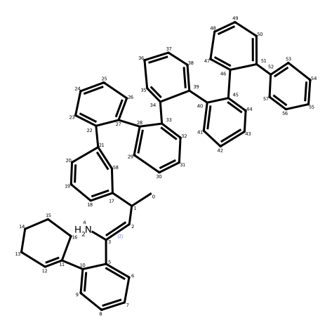 CC(/C=C(\N)c1ccccc1C1=CCCCC1)c1cccc(-c2ccccc2-c2ccccc2-c2ccccc2-c2ccccc2-c2ccccc2-c2ccccc2)c1